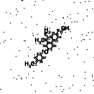 CCc1ccc(COc2ccc(-c3ccc(CCO)cc3CC)c(CC)c2)cc1